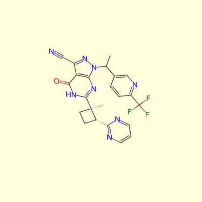 CC(c1ccc(C(F)(F)F)nc1)n1nc(C#N)c2c(=O)[nH]c([C@]3(C)CC[C@H]3c3ncccn3)nc21